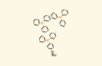 [Br][Au].c1ccc(P(c2ccccc2)c2ccccc2)cc1.c1ccc(P(c2ccccc2)c2ccccc2)cc1.c1ccc(P(c2ccccc2)c2ccccc2)cc1